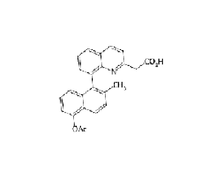 CC(=O)Oc1cccc2c(-c3cccc4ccc(CC(=O)O)nc34)c(C)ccc12